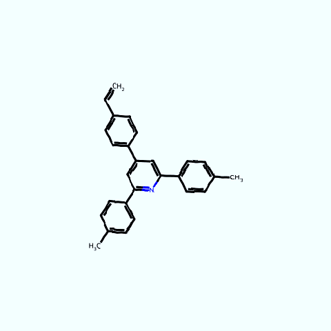 C=Cc1ccc(-c2cc(-c3ccc(C)cc3)nc(-c3ccc(C)cc3)c2)cc1